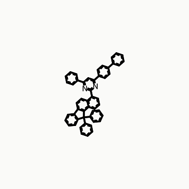 c1ccc(-c2ccc(-c3cc(-c4ccccc4)nc(-c4cccc5c6c(ccc45)-c4ccccc4C6(c4ccccc4)c4ccccc4)n3)cc2)cc1